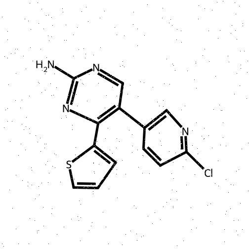 Nc1ncc(-c2ccc(Cl)nc2)c(-c2cccs2)n1